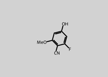 COc1cc(O)cc(F)c1C#N